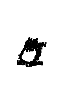 CO[C@H]1/C=C/O[C@@]2(C)Oc3c(C)c(O)c4c(O)c(c5c(nc6cc(C)ccn65)c4c3C2=O)NC(=O)/C(C)=C\C=C\[C@H](C)[C@H](C)[C@@H](C)[C@@H](O)[C@@H](C)[C@H](OC(C)=O)[C@@H]1C